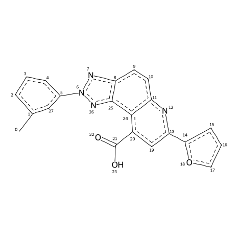 Cc1cccc(-n2nc3ccc4nc(-c5ccco5)cc(C(=O)O)c4c3n2)c1